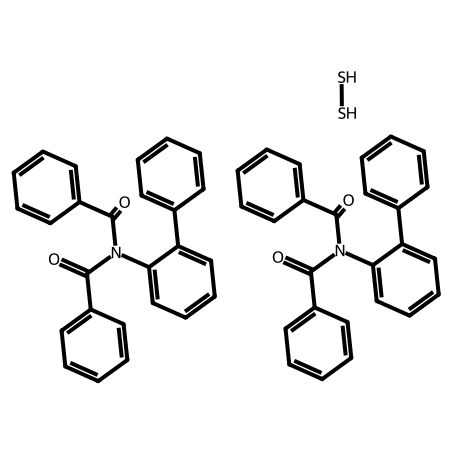 O=C(c1ccccc1)N(C(=O)c1ccccc1)c1ccccc1-c1ccccc1.O=C(c1ccccc1)N(C(=O)c1ccccc1)c1ccccc1-c1ccccc1.SS